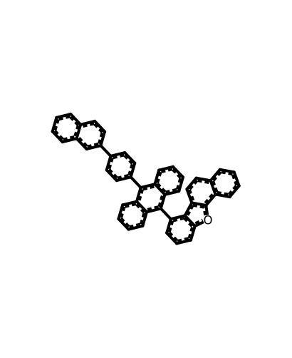 c1ccc2cc(-c3ccc(-c4c5ccccc5c(-c5cccc6oc7c8ccccc8ccc7c56)c5ccccc45)cc3)ccc2c1